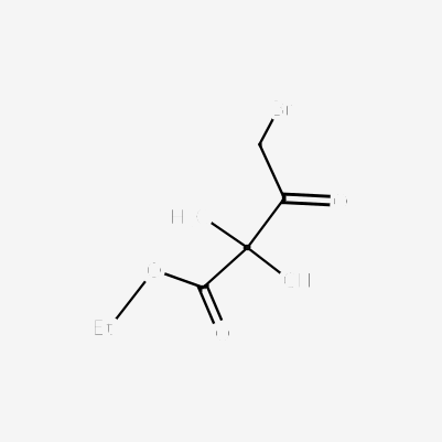 CCOC(=O)C(C)(C)C(=O)CBr